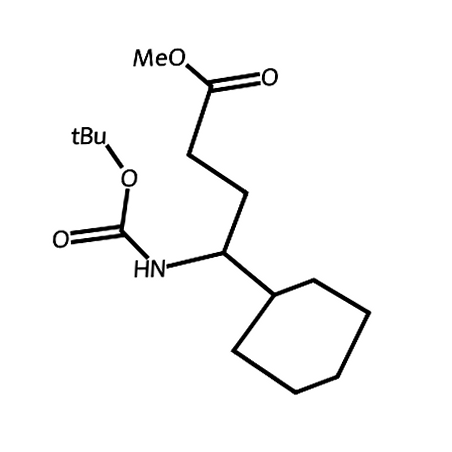 COC(=O)CCC(NC(=O)OC(C)(C)C)C1CCCCC1